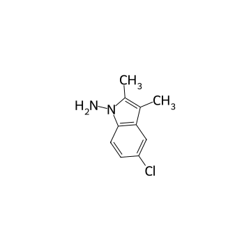 Cc1c(C)n(N)c2ccc(Cl)cc12